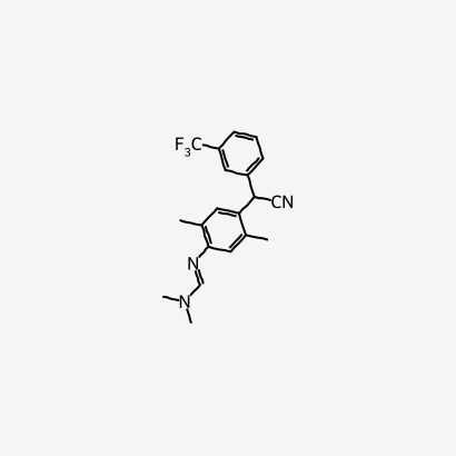 Cc1cc(C(C#N)c2cccc(C(F)(F)F)c2)c(C)cc1N=CN(C)C